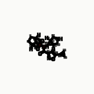 O=C(NC1C[C@H]2CC[C@@H](C1)N2S(=O)(=O)CC1[C@H]2CNC[C@@H]12)c1cc(C2CC2)on1